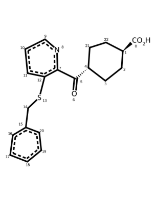 O=C(O)[C@H]1CC[C@H](C(=O)c2ncccc2SCc2ccccc2)CC1